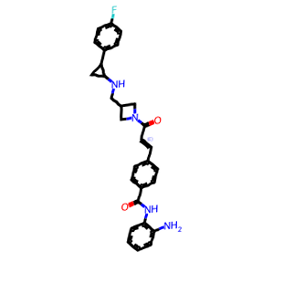 Nc1ccccc1NC(=O)c1ccc(/C=C/C(=O)N2CC(CNC3CC3c3ccc(F)cc3)C2)cc1